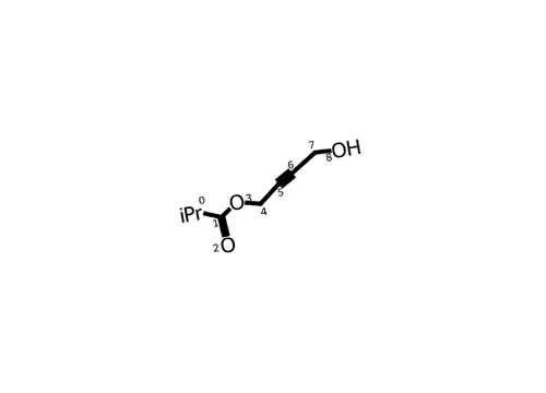 CC(C)C(=O)OCC#CCO